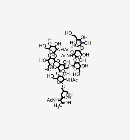 CC(=O)N/C(=C(/O)CC(CO)CO[C@@H]1OC(CO)[C@@H](O[C@@H]2OC(CO[C@H]3OC(CO)[C@@H](O)C(O)C3O[C@@H]3OC(O)[C@@H](O[C@H](O)/C(O)=C(/O)[C@@H](O)CCO)CC3(O)NC(C)=O)[C@@H](O)C(OC3OC(CO)C(O)C(O)C3O[C@@H]3OC(CO)[C@@H](O)C(O)C3NC(C)=O)C2O)C(O)C1NC(C)=O)[C@H](C)O